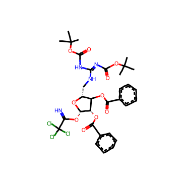 CC(C)(C)OC(=O)/N=C(\NC[C@H]1O[C@@H](OC(=N)C(Cl)(Cl)Cl)[C@@H](OC(=O)c2ccccc2)C1OC(=O)c1ccccc1)NC(=O)OC(C)(C)C